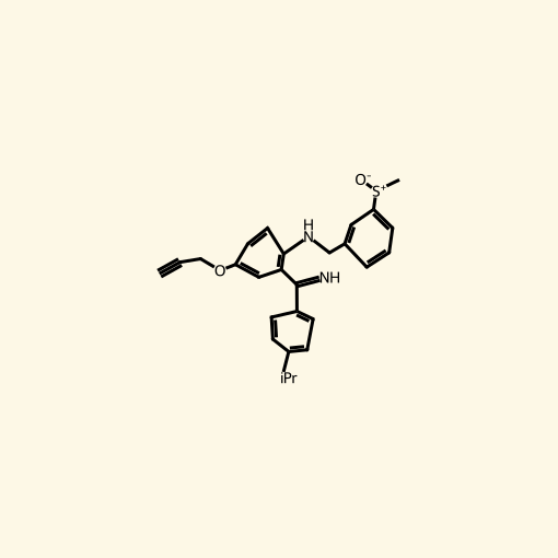 C#CCOc1ccc(NCc2cccc([S+](C)[O-])c2)c(C(=N)c2ccc(C(C)C)cc2)c1